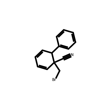 N#CC1(CBr)C=CC=CC1c1ccccc1